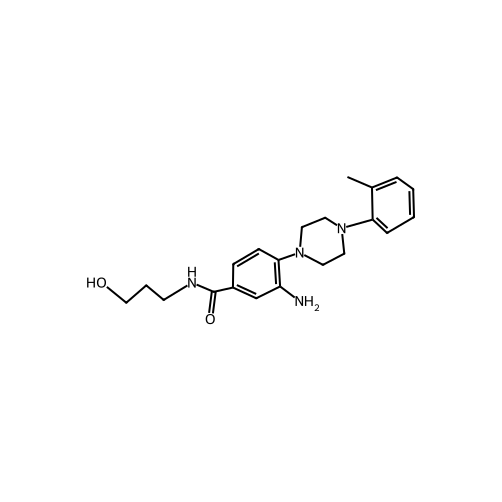 Cc1ccccc1N1CCN(c2ccc(C(=O)NCCCO)cc2N)CC1